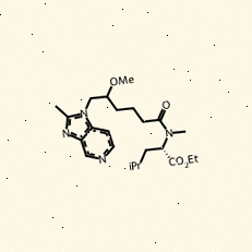 CCOC(=O)[C@H](CC(C)C)N(C)C(=O)CCCC(Cn1c(C)nc2cnccc21)OC